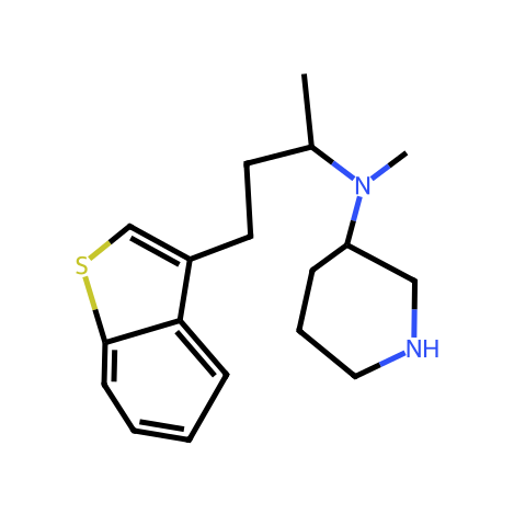 CC(CCc1csc2ccccc12)N(C)C1CCCNC1